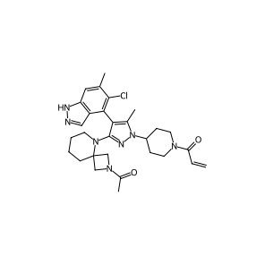 C=CC(=O)N1CCC(n2nc(N3CCCCC34CN(C(C)=O)C4)c(-c3c(Cl)c(C)cc4[nH]ncc34)c2C)CC1